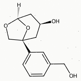 OCc1cccc([C@]23CO[C@@H](C[C@@H](O)C2)O3)c1